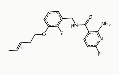 C/C=C/CCOc1cccc(CNC(=O)c2ccc(F)nc2N)c1F